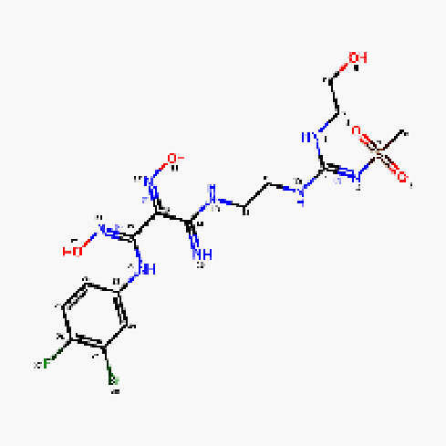 CS(=O)(=O)/N=C(\NCCO)NCCNC(=N)C(=N\O)/C(=N/O)Nc1ccc(F)c(Br)c1